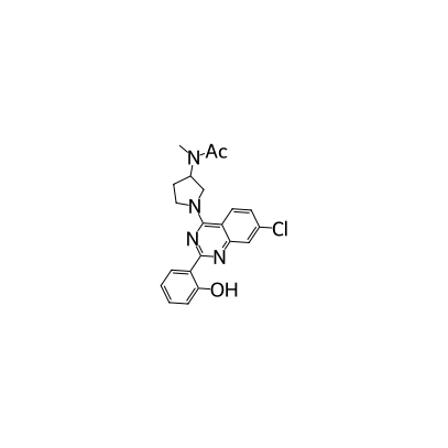 CC(=O)N(C)C1CCN(c2nc(-c3ccccc3O)nc3cc(Cl)ccc23)C1